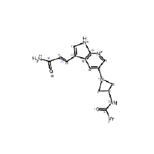 CC(C)C(=O)NC1CN(c2cnc3[nH]cc(/C=C/C(N)=O)c3c2)C1